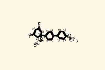 FC1=CC(N=C=S)(c2ccc(-c3ccc(OC(F)(F)F)cc3)cc2)CC(F)=C1